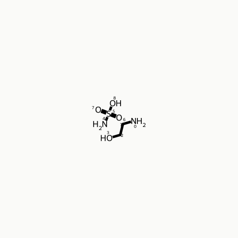 NCCO.NS(=O)(=O)O